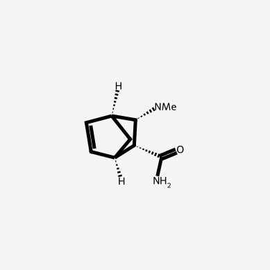 CN[C@@H]1[C@H](C(N)=O)[C@H]2C=C[C@@H]1C2